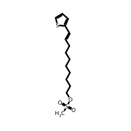 CS(=O)(=O)OCCCCCCCCC=Cc1cccs1